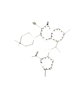 Cc1cc(C(C)Nc2ccc(C)nc2C(=O)O)c2nc(N3CCC(F)(F)CC3)c(C#N)c(=O)n2c1